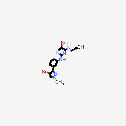 C#CCNc1nc(Nc2cccc(-c3nn(C)cc3Br)c2)ncc1Br